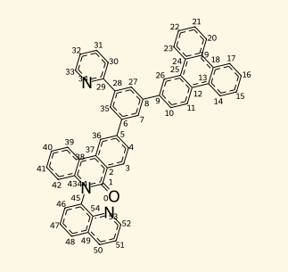 O=c1c2ccc(-c3cc(-c4ccc5c6ccccc6c6ccccc6c5c4)cc(-c4ccccn4)c3)cc2c2ccccc2n1-c1cccc2cccnc12